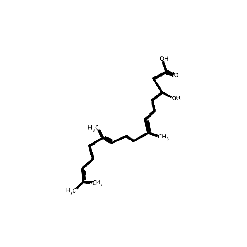 CC(C)=CCCC(C)=CCCC(C)=CCCC(O)CC(=O)O